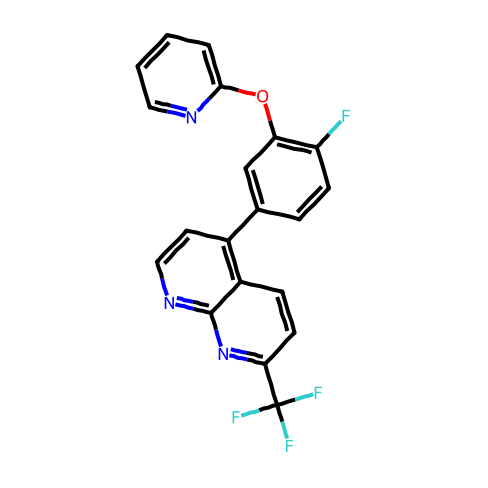 Fc1ccc(-c2ccnc3nc(C(F)(F)F)ccc23)cc1Oc1ccccn1